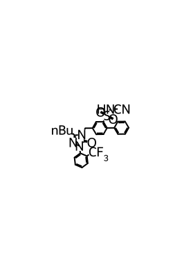 CCCCc1nn(-c2ccccc2C(F)(F)F)c(=O)n1Cc1ccc(-c2ccccc2)c(S(=O)(=O)NC#N)c1